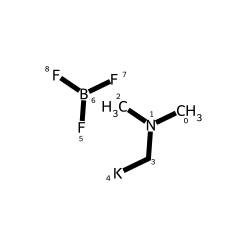 CN(C)[CH2][K].FB(F)F